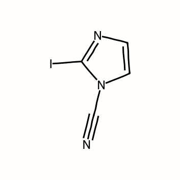 N#Cn1ccnc1I